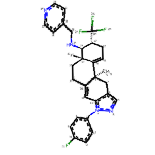 C[C@]12Cc3cnn(-c4ccc(F)cc4)c3C=C1CC[C@H]1C2=CC[C@@H](C(F)(F)F)[C@@H]1NCc1ccncc1